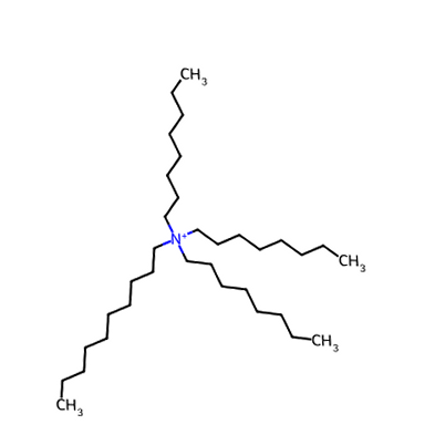 CCCCCCCCCC[N+](CCCCCCCC)(CCCCCCCC)CCCCCCCC